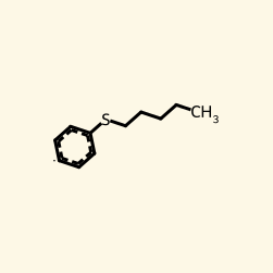 CCCCCSc1cc[c]cc1